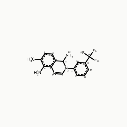 Cc1ccc2c(c1N)N=CN(c1cccc(C(F)(F)F)c1)C2N